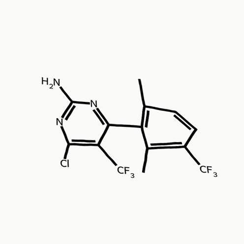 Cc1ccc(C(F)(F)F)c(C)c1-c1nc(N)nc(Cl)c1C(F)(F)F